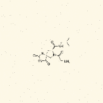 CC(C)CNC(=O)[C@@H]1C[C@]2(CN1C(=O)CN)C(=O)NC(=O)N2C